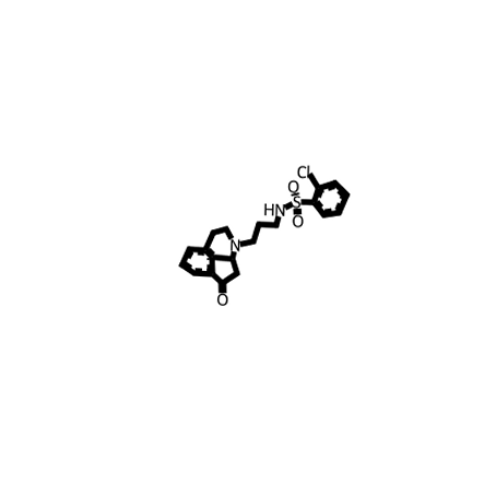 O=C1CC2c3c(cccc31)CCN2CCCNS(=O)(=O)c1ccccc1Cl